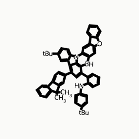 CC(C)(C)c1ccc(Nc2ccccc2-c2cc(-c3ccc4c(c3)C(C)(C)c3ccccc3-4)c3c4cc(C(C)(C)C)ccc4n4c3c2Bc2cc3oc5ccccc5c3cc2-4)cc1